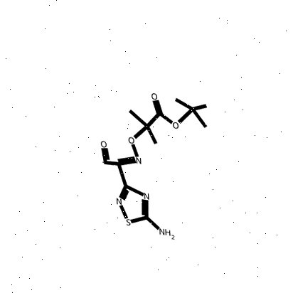 CC(C)(C)OC(=O)C(C)(C)O/N=C(\[C]=O)c1nsc(N)n1